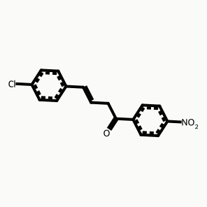 O=C(CC=Cc1ccc(Cl)cc1)c1ccc([N+](=O)[O-])cc1